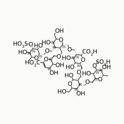 CC1O[C@@H](COC[C@H]2C(COC[C@@H]3OC(C(=O)O)[C@@H](COC[C@H]4OC(CO)[C@@H](O)[C@@H](COC[C@@H]5OC(C)[C@@H](O)[C@H](OS(=O)(=O)O)C5O)C4COC[C@@H]4OC(C(=O)O)=C[C@@H](O)C4O)[C@@H](O)C3O)C(O)OC(CO)[C@H]2O)C(O)[C@@H](OS(=O)(=O)O)[C@@H]1O